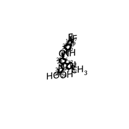 Cc1ccc(-c2cc(C(=O)Nc3ccc(CC(F)(F)F)cc3)ccc2N2C[C@H](O)[C@@H](O)C2)cn1